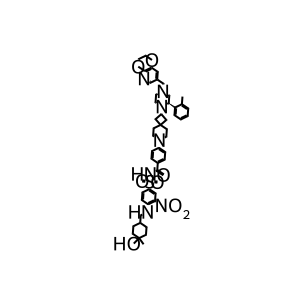 Cc1ccccc1[C@@H]1CN(Cc2cnc3c(c2)OCCO3)CCN1C1CC2(CCN(c3ccc(C(=O)NS(=O)(=O)c4ccc(NCC5CCC(C)(O)CC5)c([N+](=O)[O-])c4)cc3)CC2)C1